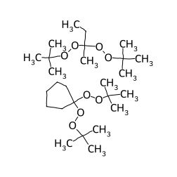 CC(C)(C)OOC1(OOC(C)(C)C)CCCCC1.CCC(C)(OOC(C)(C)C)OOC(C)(C)C